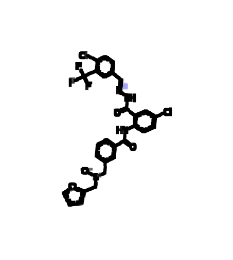 O=C(Nc1ccc(Cl)cc1C(=O)N/N=C/c1ccc(Cl)c(C(F)(F)F)c1)c1cccc(C[S+]([O-])Cc2ccco2)c1